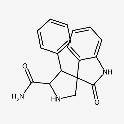 NC(=O)C1NCC2(C(=O)Nc3ccccc32)C1c1ccccc1